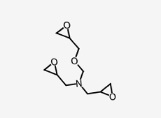 C(OCN(CC1CO1)CC1CO1)C1CO1